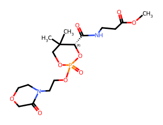 COC(=O)CCNC(=O)[C@@H]1OP(=O)(OCCN2CCOCC2=O)OCC1(C)C